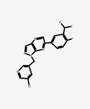 Fc1ccc(-c2cnc3cnn(Cc4cncc(Cl)c4)c3n2)cc1C(F)F